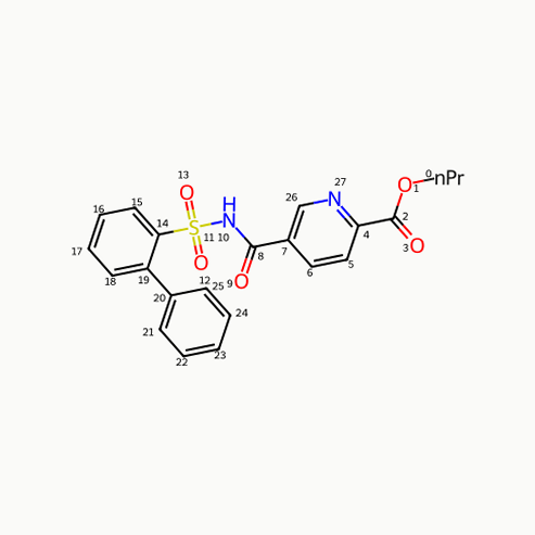 CCCOC(=O)c1ccc(C(=O)NS(=O)(=O)c2ccccc2-c2ccccc2)cn1